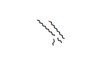 CCCCCCCCCCCC(=O)[O-].CCCCCCCCCCC[CH2][Sn+]([CH2]CCC)[CH2]CCC